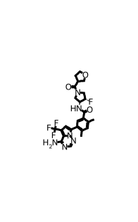 Cc1cc(C)c(-c2cc(C(F)(F)F)c3c(N)ncnn23)cc1C(=O)N[C@@H]1CN(C(=O)C2CCOC2)C[C@@H]1F